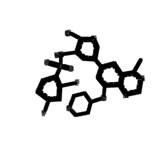 Cc1ncnc2c(OC3CCOCC3)cc(-c3cnc(Cl)c(NS(=O)(=O)c4ccc(F)cc4F)c3)cc12